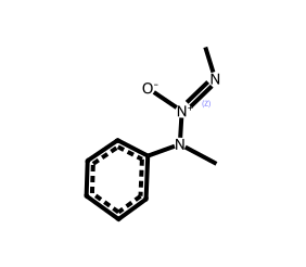 C/N=[N+](\[O-])N(C)c1ccccc1